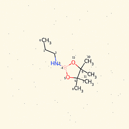 CCCNB1OC(C)(C)C(C)(C)O1